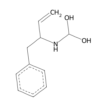 C=CC(Cc1ccccc1)NC(O)O